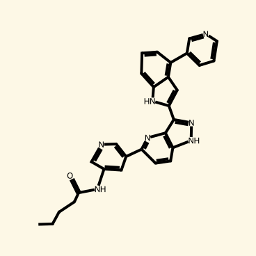 CCCCC(=O)Nc1cncc(-c2ccc3[nH]nc(-c4cc5c(-c6cccnc6)cccc5[nH]4)c3n2)c1